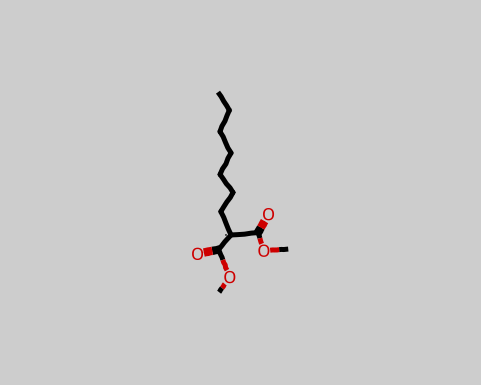 CCCCCCC[C](C(=O)OC)C(=O)OC